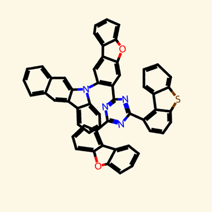 c1ccc2cc3c(cc2c1)c1ccccc1n3-c1cc2c(cc1-c1nc(-c3cccc4oc5ccccc5c34)nc(-c3cccc4sc5ccccc5c34)n1)oc1ccccc12